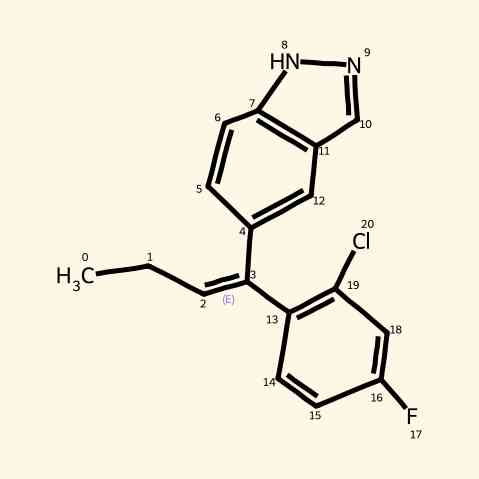 CC/C=C(\c1ccc2[nH]ncc2c1)c1ccc(F)cc1Cl